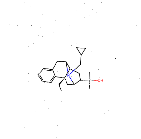 CC[C@]12CC3C(C(C)(C)O)CC1C(Cc1ccccc12)N3CC1CC1